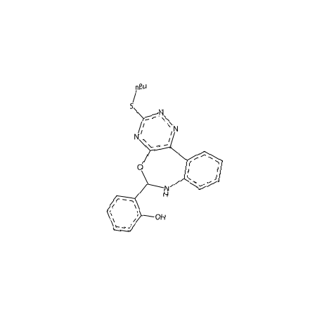 CCCCSc1nnc2c(n1)OC(c1ccccc1O)Nc1ccccc1-2